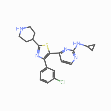 Clc1cccc(-c2nc(C3CCNCC3)sc2-c2ccnc(NC3CC3)n2)c1